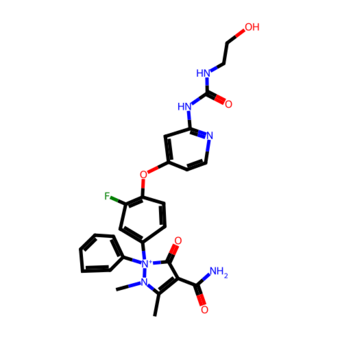 CC1=C(C(N)=O)C(=O)[N+](c2ccccc2)(c2ccc(Oc3ccnc(NC(=O)NCCO)c3)c(F)c2)N1C